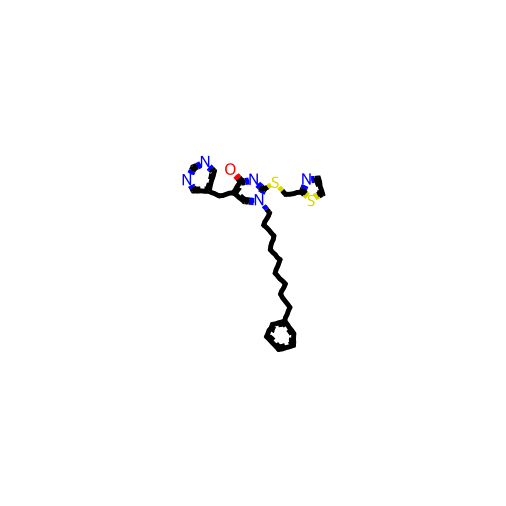 O=c1nc(SCc2nccs2)n(CCCCCCCCCc2ccccc2)cc1Cc1cncnc1